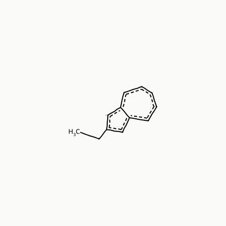 CCc1[c]c2cccccc-2c1